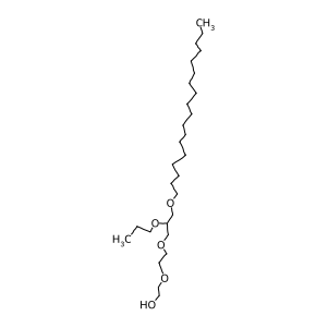 CCCCCCCCCCCCCCCCCCOCC(COCCOCCO)OCCC